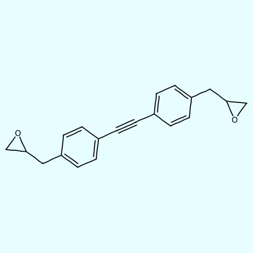 C(#Cc1ccc(CC2CO2)cc1)c1ccc(CC2CO2)cc1